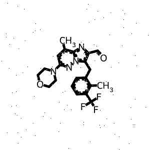 Cc1c(Cc2c(C=O)nc3c(C)cc(N4CCOCC4)nn23)cccc1C(F)(F)F